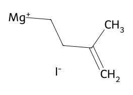 C=C(C)C[CH2][Mg+].[I-]